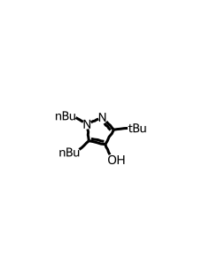 CCCCc1c(O)c(C(C)(C)C)nn1CCCC